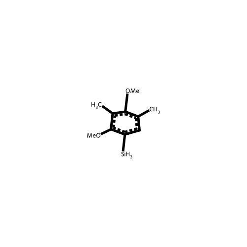 COc1c(C)cc([SiH3])c(OC)c1C